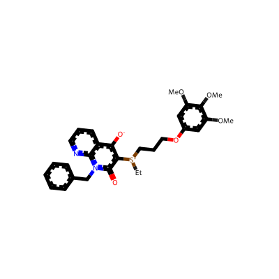 CC[S+](CCCOc1cc(OC)c(OC)c(OC)c1)c1c([O-])c2cccnc2n(Cc2ccccc2)c1=O